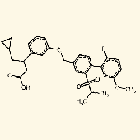 COc1ccc(F)c(-c2ccc(COc3cccc(C(CC(=O)O)CC4CC4)c3)cc2S(=O)(=O)C(C)C)c1